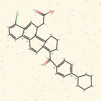 O=C(O)CC1C=c2c(Cl)cccc2=c2ccc3c(c21)CCCC=3C(=O)c1ccc(C2CCCCC2)cc1